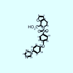 O=C(O)C1c2occc2CCN1S(=O)(=O)c1ccc(Oc2ccc(-n3cncn3)cc2)cc1